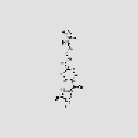 CN1CC(C(=O)N2CCC(CCCCNC(N)=O)CC2)CC1=O